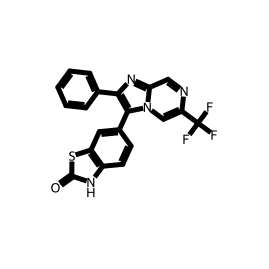 O=c1[nH]c2ccc(-c3c(-c4ccccc4)nc4cnc(C(F)(F)F)cn34)cc2s1